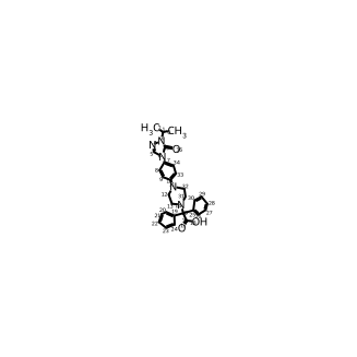 CC(C)n1ncn(-c2ccc(N3CCN(C(C(=O)O)(c4ccccc4)c4ccccc4)CC3)cc2)c1=O